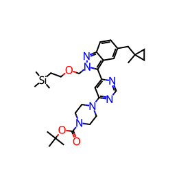 CC1(Cc2ccc3nn(COCC[Si](C)(C)C)c(-c4cc(N5CCN(C(=O)OC(C)(C)C)CC5)ncn4)c3c2)CC1